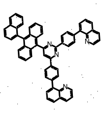 c1ccc2c(-c3c4ccccc4c(-c4cc(-c5ccc(-c6cccc7cccnc67)cc5)nc(-c5ccc(-c6cccc7cccnc67)cc5)n4)c4ccccc34)cccc2c1